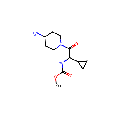 CC(C)(C)OC(=O)N[C@@H](C(=O)N1CCC(N)CC1)C1CC1